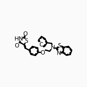 O=C1NC(=O)C(=Cc2ccc(OCCN(Cc3ccccc3)c3nc4ccccc4s3)cc2)S1